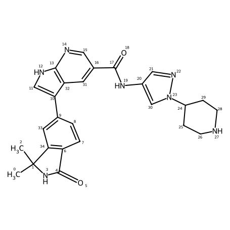 CC1(C)NC(=O)c2ccc(-c3c[nH]c4ncc(C(=O)Nc5cnn(C6CCNCC6)c5)cc34)cc21